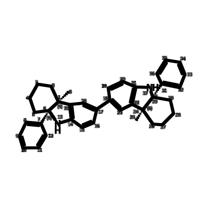 C[C@@]12CCCC[C@]1(c1ccccc1)Nc1ccc(-c3ccc4c(c3)[C@]3(C)CCCC[C@]3(c3ccccc3)N4)cc12